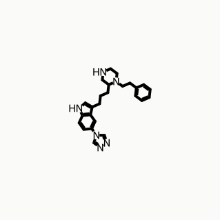 c1ccc(CCN2CCNCC2CCCc2c[nH]c3ccc(-n4cnnc4)cc23)cc1